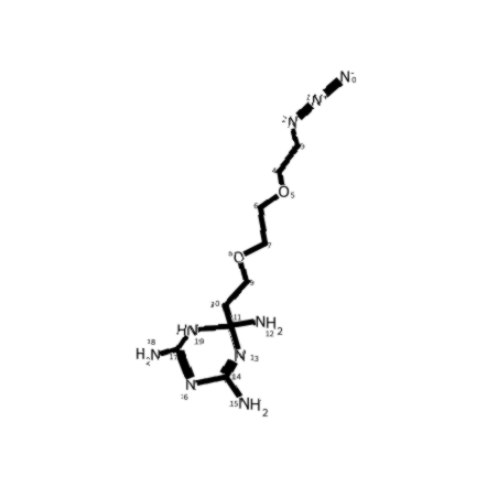 [N-]=[N+]=NCCOCCOCCC1(N)N=C(N)N=C(N)N1